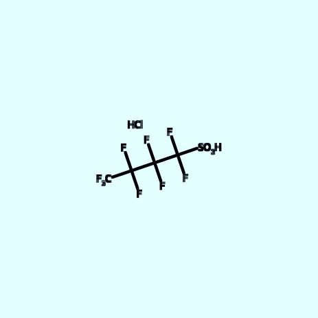 Cl.O=S(=O)(O)C(F)(F)C(F)(F)C(F)(F)C(F)(F)F